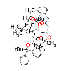 Cc1cccc(CCC[C@@H]2OC(C)(C)O[C@@H]2C(/C=C\[C@@H](C)[C@H](C)O[Si](c2ccccc2)(c2ccccc2)C(C)(C)C)O[Si](C)(C)C(C)(C)C)c1C(=O)OCC[Si](C)(C)C